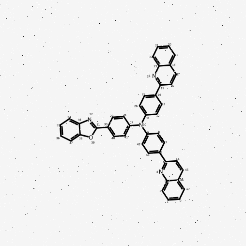 c1ccc2nc(-c3ccc(N(c4ccc(-c5ccc6ccccc6n5)cc4)c4ccc(-c5nc6ccccc6o5)cc4)cc3)ccc2c1